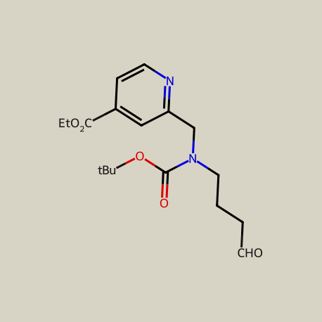 CCOC(=O)c1ccnc(CN(CCCC=O)C(=O)OC(C)(C)C)c1